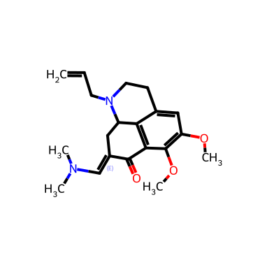 C=CCN1CCc2cc(OC)c(OC)c3c2C1C/C(=C\N(C)C)C3=O